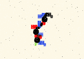 Cc1n[nH]c2cc(OCCNCC(O)c3cccc(NS(=O)(=O)c4ccc(F)c(N)c4)c3)ccc12